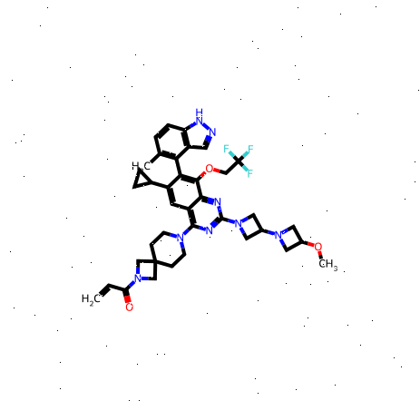 C=CC(=O)N1CC2(CCN(c3nc(N4CC(N5CC(OC)C5)C4)nc4c(OCC(F)(F)F)c(-c5c(C)ccc6[nH]ncc56)c(C5CC5)cc34)CC2)C1